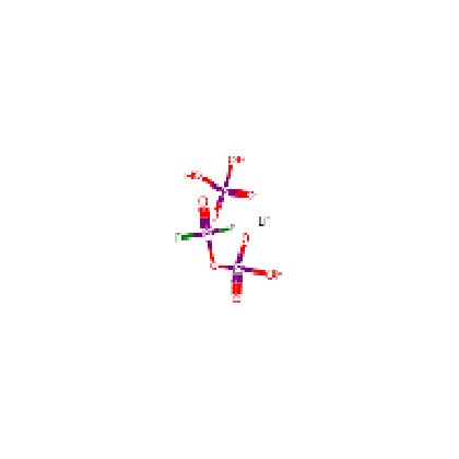 O=P(O)(O)O.O=P([O-])(O)OP(=O)(F)F.[Li+]